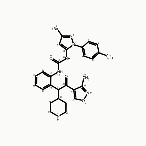 Cc1ccc(-n2nc(C(C)(C)C)cc2NC(=O)Nc2ccccc2C(C(=O)c2conc2C)C2CCNCC2)cc1